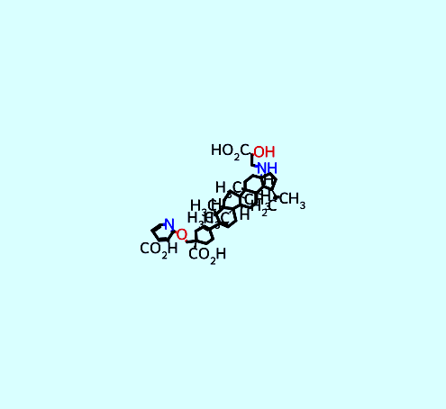 C=C(C)[C@@H]1CC[C@]2(NC[C@@H](O)C(=O)O)CC[C@]3(C)[C@H](CC[C@@H]4[C@@]5(C)CC=C(C6=CC[C@](COc7ncccc7C(=O)O)(C(=O)O)CC6)C(C)(C)[C@@H]5CC[C@]43C)[C@@H]12